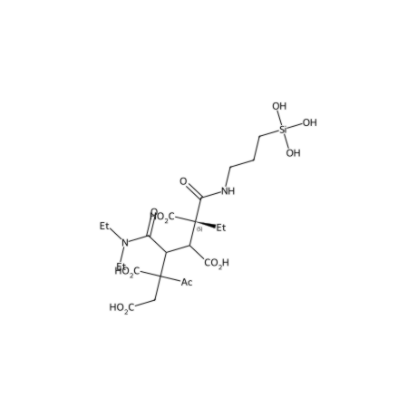 CCN(CC)C(=O)C(C(C(=O)O)[C@](CC)(C(=O)O)C(=O)NCCC[Si](O)(O)O)C(CC(=O)O)(C(C)=O)C(=O)O